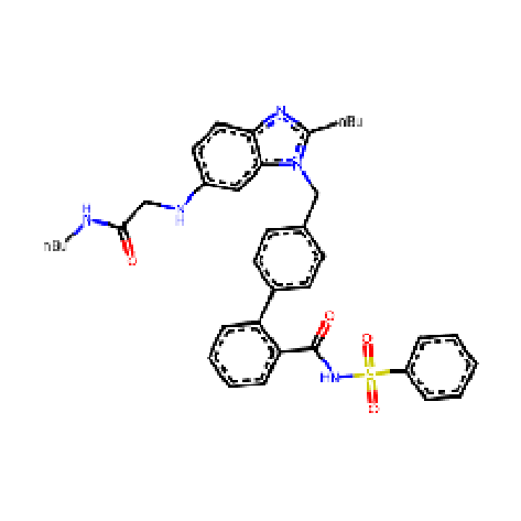 CCCCNC(=O)CNc1ccc2nc(CCCC)n(Cc3ccc(-c4ccccc4C(=O)NS(=O)(=O)c4ccccc4)cc3)c2c1